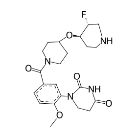 COc1ccc(C(=O)N2CCC(O[C@@H]3CCNC[C@H]3F)CC2)cc1N1CCC(=O)NC1=O